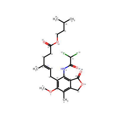 COc1c(C)c2c(c(NC(=O)C(F)F)c1C/C=C(\C)CCC(=O)OCCC(C)C)C(=O)OC2